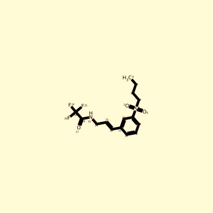 CCCCS(=O)(=O)c1cccc(/C=C/CNC(=O)C(F)(F)F)c1